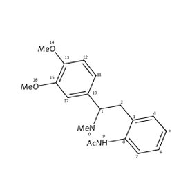 CNC(Cc1ccccc1NC(C)=O)c1ccc(OC)c(OC)c1